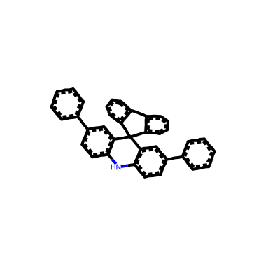 c1ccc(-c2ccc3c(c2)C2(c4cc(-c5ccccc5)ccc4N3)c3ccccc3-c3ccccc32)cc1